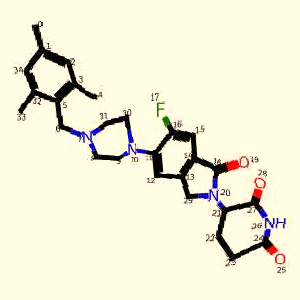 Cc1cc(C)c(CN2CCN(c3cc4c(cc3F)C(=O)N(C3CCC(=O)NC3=O)C4)CC2)c(C)c1